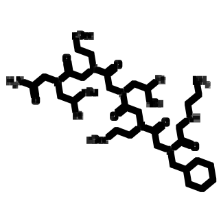 CCCCCCCCCCCCN(CC(=O)N(CC(N)=O)CC(CC)CCCC)C(=O)CN(CC(CC)CCCC)C(=O)CN(CCCCCCCCCCCC)C(=O)CN(CC1CCCCC1)C(=O)CNCCN